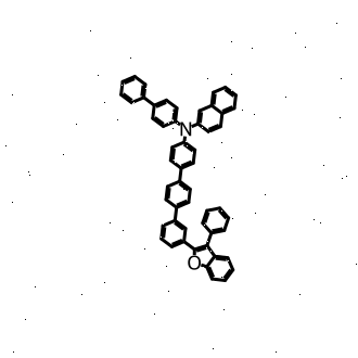 c1ccc(-c2ccc(N(c3ccc(-c4ccc(-c5cccc(-c6oc7ccccc7c6-c6ccccc6)c5)cc4)cc3)c3ccc4ccccc4c3)cc2)cc1